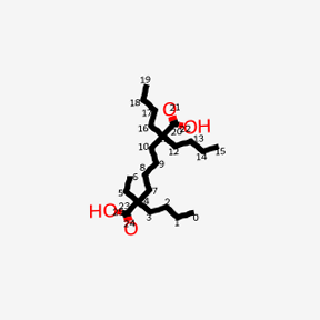 CCCCC(CC)(CCCCC(CCCC)(CCCC)C(=O)O)C(=O)O